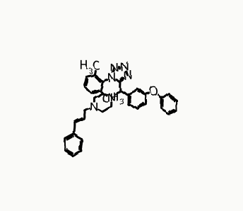 Cc1cccc(C)c1-n1nnnc1C(c1cccc(Oc2ccccc2)c1)N1CCN(CC=Cc2ccccc2)CC1